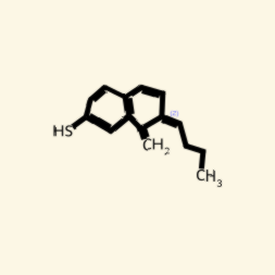 C=c1/c(=C\CCC)ccc2ccc(S)cc12